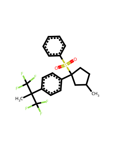 CC1CCC(c2ccc(C(C)(C(F)(F)F)C(F)(F)F)cc2)(S(=O)(=O)c2ccccc2)C1